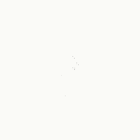 O=Cc1ccccc1OCc1cn(Cc2ccccc2)nn1